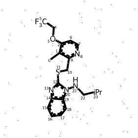 Cc1c(OCC(F)(F)F)ccnc1CSc1nc2ccccc2n1NCC(C)C